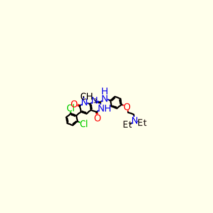 CCN(CC)CCOc1ccc(Nc2nc3c(cc(-c4c(Cl)cccc4Cl)c(=O)n3C)c(=O)[nH]2)cc1